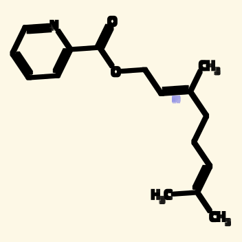 CC(C)=CCC/C(C)=C/COC(=O)c1ccccn1